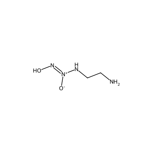 NCCN[N+]([O-])=NO